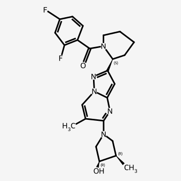 Cc1cn2nc([C@@H]3CCCCN3C(=O)c3ccc(F)cc3F)cc2nc1N1C[C@@H](C)[C@@H](O)C1